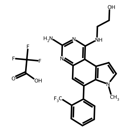 Cn1ccc2c3c(NCCO)nc(N)nc3cc(-c3ccccc3C(F)(F)F)c21.O=C(O)C(F)(F)F